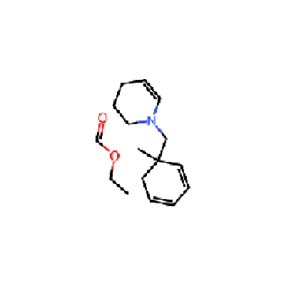 CC1(CN2C=CCCC2)C=CC=CC1.CCOC=O